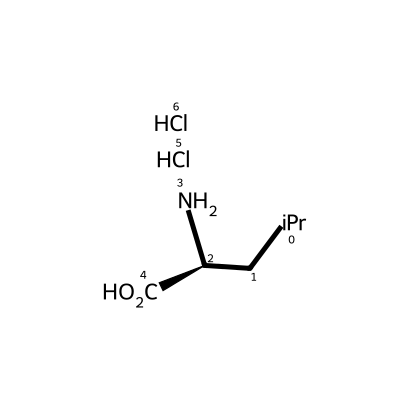 CC(C)C[C@H](N)C(=O)O.Cl.Cl